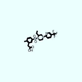 CCC1CN(c2ccc(C(F)(F)F)cn2)CCN1S(=O)(=O)c1ccc(C)c(CC(=O)O)c1